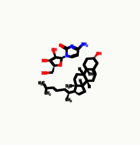 CC(C)CCC[C@@H](C)[C@H]1CC[C@H]2[C@@H]3CC=C4C[C@@H](O)CC[C@]4(C)[C@H]3CC[C@]12C.Nc1ccn([C@@H]2O[C@H](CO)[C@@H](O)[C@H]2O)c(=O)n1